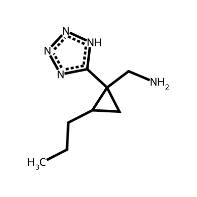 CCCC1CC1(CN)c1nnn[nH]1